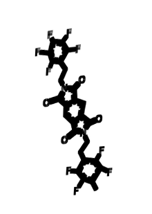 Cc1c(F)c(F)c(CCn2c(=O)c3cc4c(=O)n(CCc5c(F)c(F)c(F)c(F)c5F)c(=O)c4cc3c2=O)c(F)c1F